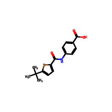 CC(C)(C)c1ccc(C(=O)Nc2ccc(C(=O)O)cc2)s1